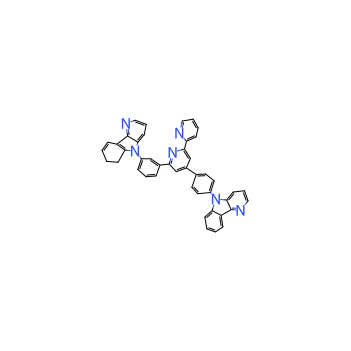 C1=Cc2c(n(-c3cccc(-c4cc(-c5ccc(-n6c7ccccc7c7ncccc76)cc5)cc(-c5ccccn5)n4)c3)c3cccnc23)CC1